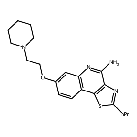 CCCc1nc2c(N)nc3cc(OCCN4CCCCC4)ccc3c2s1